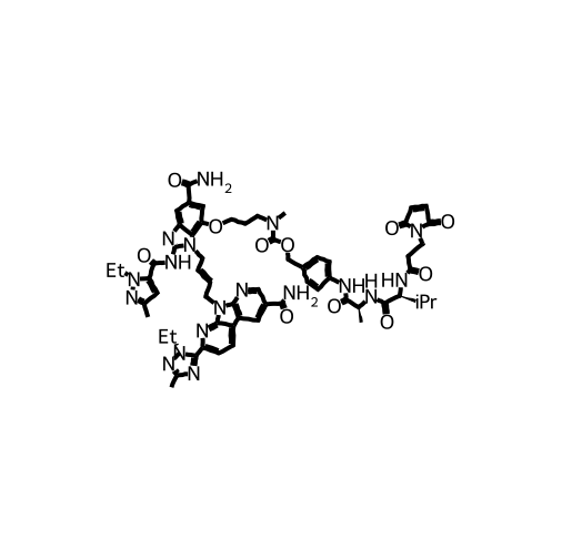 CCn1nc(C)cc1C(=O)Nc1nc2cc(C(N)=O)cc(OCCCN(C)C(=O)OCc3ccc(NC(=O)[C@H](C)NC(=O)[C@@H](NC(=O)CCN4C(=O)C=CC4=O)C(C)C)cc3)c2n1C/C=C/Cn1c2ncc(C(N)=O)cc2c2ccc(-c3nc(C)nn3CC)nc21